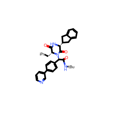 CC(C)C[C@@H]1C(=O)N[C@H](C2Cc3ccccc3C2)C(=O)N1[C@@H](C(=O)NC(C)(C)C)c1ccc(-c2cccnc2)cc1